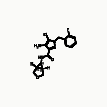 Nc1c(C(=O)N[C@@H]2[C@@H]3COC[C@@H]32)nn(Cc2ccccc2F)c1Cl